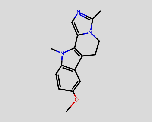 COc1ccc2c(c1)c1c(n2C)-c2cnc(C)n2CC1